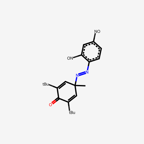 CC1(N=Nc2ccc(N=O)cc2N=O)C=C(C(C)(C)C)C(=O)C(C(C)(C)C)=C1